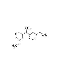 CCC1CCCC(C(C)C2CCCC(CC)C2)C1